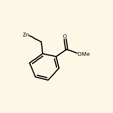 COC(=O)c1ccccc1[CH2][Zn]